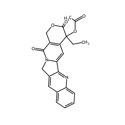 CCC1(OC(C)=O)C(=O)OCc2c1cc1n(c2=O)Cc2cc3ccccc3nc2-1